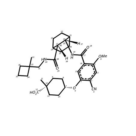 COc1cc(C#N)c(O[C@H]2CC[C@@](C)(C(=O)O)CC2)cc1C(=O)N[C@H]1C2CCC(CC2)[C@H]1C(=O)NCC1(C)CCC1